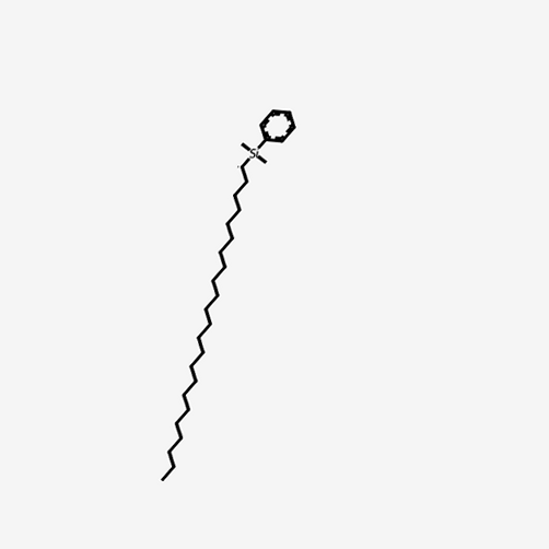 CCCCCCCCCCCCCCCCCCCCCC[CH][Si](C)(C)c1ccccc1